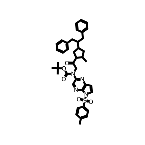 Cc1ccc(S(=O)(=O)n2ccc3nc(N(CC(=O)C4CC(C(Cc5ccccc5)Cc5ccccc5)CC4C)C(=O)OC(C)(C)C)cnc32)cc1